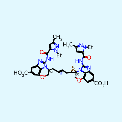 CCn1nc(C)cc1C(=O)Nc1nc2cc(C(=O)O)cc3c2n1[C@@H](C/C=C/CC1S[C@]12COc1cc(C(=O)O)cc4nc(NC(=O)c5cc(C)nn5CC)n2c14)CO3